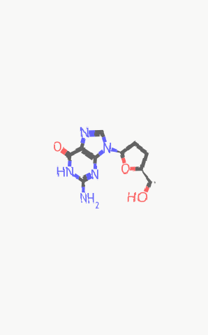 Nc1nc2c(ncn2[C@H]2CC[C@@H]([CH]O)O2)c(=O)[nH]1